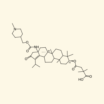 CC(C)C1=C2C3CCC4C5(C)CC[C@H](OC(=O)CC(C)(C)C(=O)O)C(C)(C)C5CCC4(C)[C@]3(C)CCC2(NC(=O)OCC2CCN(C)CC2)CC1=O